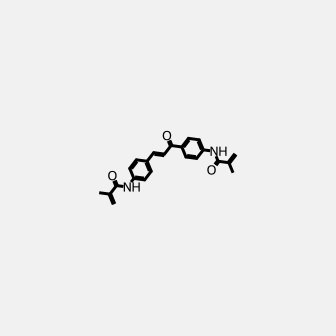 C=C(C)C(=O)Nc1ccc(/C=C/C(=O)c2ccc(NC(=O)C(=C)C)cc2)cc1